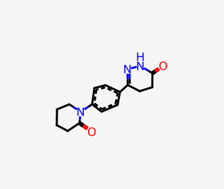 O=C1CCC(c2ccc(N3CCCCC3=O)cc2)=NN1